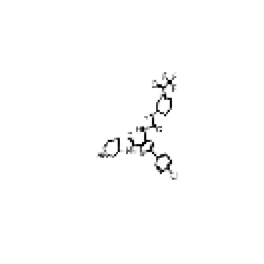 O=C(Nc1cc(-c2ccc(Cl)cc2)sc1C(=O)N[C@H]1CCCNC1)N[C@H]1CCCN(C(=O)C(F)(F)F)C1